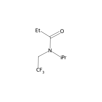 CCC(=O)N(CC(F)(F)F)C(C)C